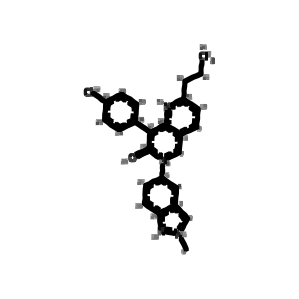 Cn1cc2cc(-n3cc4ccc(CCC(F)(F)F)nc4c(-c4ccc(Cl)cc4)c3=O)ccc2n1